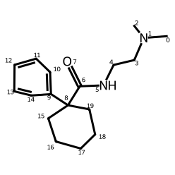 CN(C)CCNC(=O)C1(c2ccccc2)CCCCC1